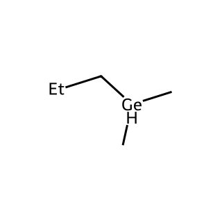 CC[CH2][GeH]([CH3])[CH3]